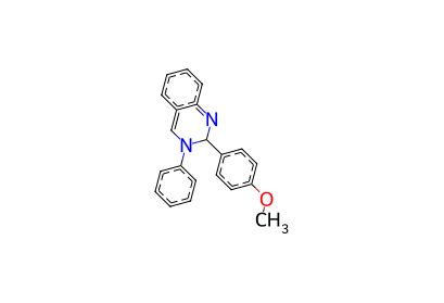 COc1ccc(C2N=c3ccccc3=CN2c2ccccc2)cc1